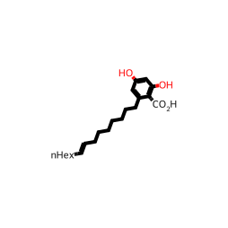 CCCCCCC=CCCCCCCCc1cc(O)cc(O)c1C(=O)O